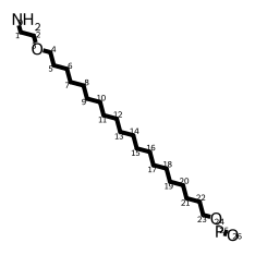 NCCOCCCCCCCCCCCCCCCCCCCCOP=O